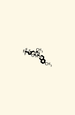 Cc1ccc2c(c1)CCN(c1nc(C)n(Cc3ccc(C(F)(F)F)s3)c(=O)n1)C2